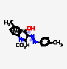 CN/C(O)=C(/N=N/c1ccc(C)cc1)C(=N/c1ccc(C)cc1)\C(=O)O